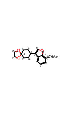 COc1cccc2c(C3CCC4(CC3)OCCO4)coc12